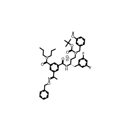 CCCN(CCC)C(=O)c1cc(C(=O)N[C@@H](Cc2cc(F)cc(F)c2)[C@H](O)CN(Cc2cccc(OC)c2)C(=O)OC(C)(C)C)cc(/C(C)=N/OCc2ccccc2)c1